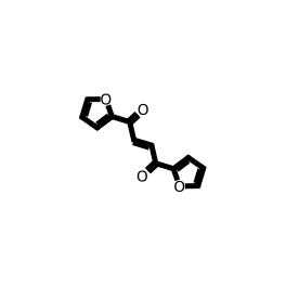 O=C(C=CC(=O)c1ccco1)c1ccco1